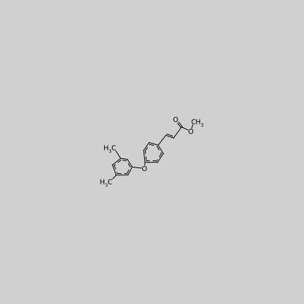 COC(=O)C=Cc1ccc(Oc2cc(C)cc(C)c2)cc1